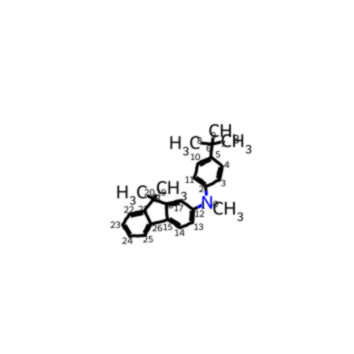 CN(c1ccc(C(C)(C)C)cc1)c1ccc2c(c1)C(C)(C)c1ccccc1-2